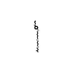 C=CCOc1ccc(OCCCCCCOCCCCOCCC(C)C)cc1